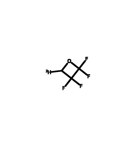 [2H]C1OC(F)(F)C1(F)F